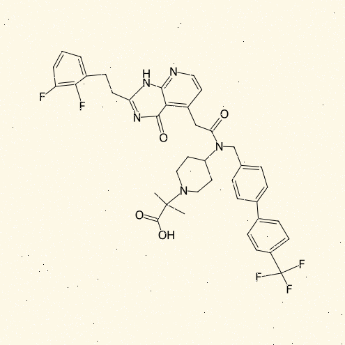 CC(C)(C(=O)O)N1CCC(N(Cc2ccc(-c3ccc(C(F)(F)F)cc3)cc2)C(=O)Cc2ccnc3[nH]c(CCc4cccc(F)c4F)nc(=O)c23)CC1